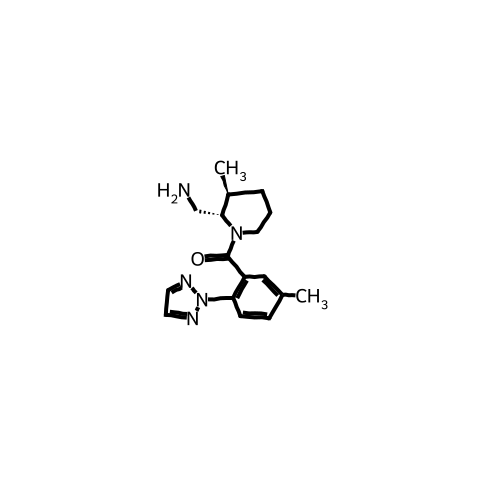 Cc1ccc(-n2nccn2)c(C(=O)N2CCC[C@H](C)[C@H]2CN)c1